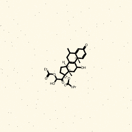 CCCC(=O)O[C@]1(C(=O)C(O)OC(=O)CC)CC[C@H]2C3=C(C(O)C[C@@]21C)[C@@]1(C)C=CC(=O)C=C1C(C)C3